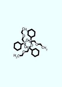 CCOC[Si]1(C2CCCCC2)O[Si](COCC)(C2CCCCC2)O[Si](COCC)(C2CCCCC2)O1